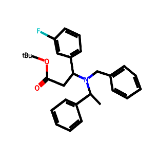 CC(c1ccccc1)N(Cc1ccccc1)C(CC(=O)OC(C)(C)C)c1cccc(F)c1